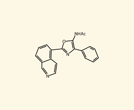 CC(=O)Nc1oc(-c2cccc3cnccc23)nc1-c1ccccc1